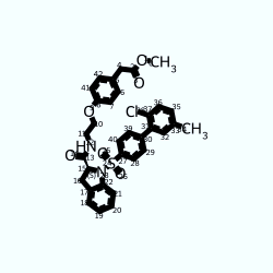 COC(=O)Cc1ccc(OCCNC(=O)[C@@H]2Cc3ccccc3N2S(=O)(=O)c2ccc(-c3cc(C)ccc3Cl)cc2)cc1